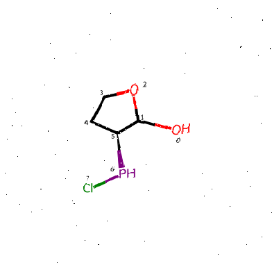 OC1OCC[C@@H]1PCl